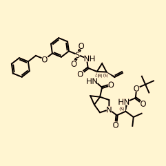 C=C[C@@H]1C[C@]1(NC(=O)C12CC1CN(C(=O)[C@@H](NC(=O)OC(C)(C)C)C(C)C)C2)C(=O)NS(=O)(=O)c1cccc(OCc2ccccc2)c1